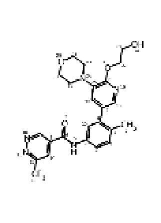 Cc1ccc(NC(=O)c2cnnc(C(F)(F)F)c2)cc1-c1cnc(OCCO)c(N2CCOCC2)c1